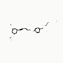 C[C@H](OCCC(=O)O)c1ccc(OC/C=C/C#Cc2cc(OCC(F)(F)F)cc(OCC(F)(F)F)c2)cc1